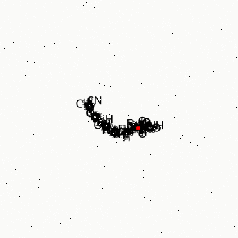 N#Cc1ccc(O[C@H]2CC[C@H](NC(=O)c3cnc(N4CCN(C[C@@H]5[C@H]6CN(c7cc8c(cc7F)C(=O)N(C7CCC(=O)NC7=O)C8=O)C[C@@H]56)CC4)cn3)CC2)cc1Cl